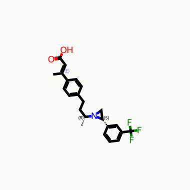 C/C(=C\C(=O)O)c1ccc(CC[C@@H](C)N2C[C@@H]2c2cccc(C(F)(F)F)c2)cc1